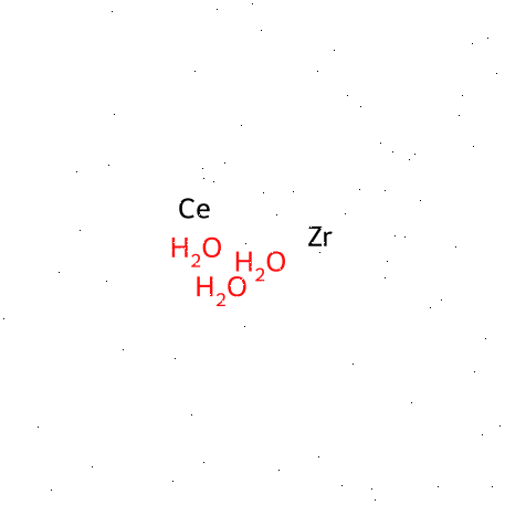 O.O.O.[Ce].[Zr]